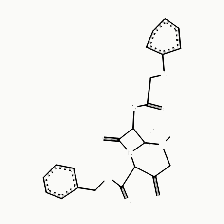 C=C1C[S+]([O-])[C@@H]2C(NC(=O)COc3ccccc3)C(=O)N2C1C(=O)OCc1ccccc1